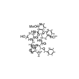 CNC(COCc1ccccc1)C(=O)NC(COc1ccnc(OC)c1C(=O)NC(CC(=O)O)C(=O)NCCc1nc(C2CC2)no1)Cc1ccccc1.Cl